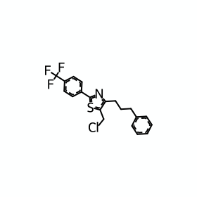 FC(F)(F)c1ccc(-c2nc(CCCc3ccccc3)c(CCl)s2)cc1